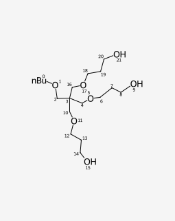 CCCCOCC(COCCCO)(COCCCO)COCCCO